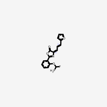 O=C1OC(c2ccccc2OC(F)P)=N/C1=C/C=C/c1ccco1